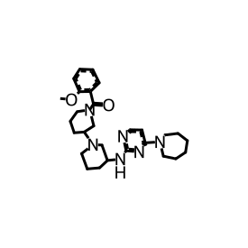 COc1ccccc1C(=O)N1CCCC(N2CCCC(Nc3nccc(N4CCCCCC4)n3)C2)C1